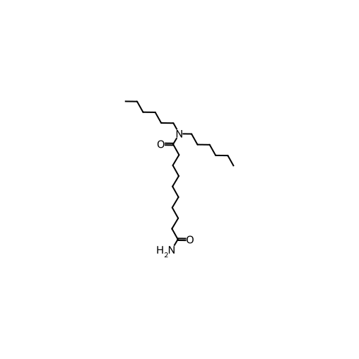 CCCCCCN(CCCCCC)C(=O)CCCCCCCCC(N)=O